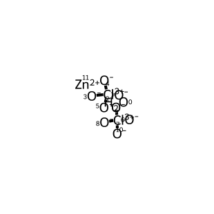 O.[O-][Cl+3]([O-])([O-])[O-].[O-][Cl+3]([O-])([O-])[O-].[Zn+2]